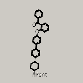 CCCCC[C@H]1CC[C@H](c2ccc(-c3ccc(Oc4ccccc4C(=O)c4ccccc4)cc3)cc2)CC1